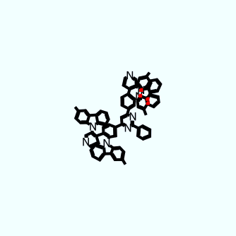 Cc1ccc2c(c1)c1ccccc1n2-c1cnccc1-c1ccc(-c2cc(-c3ccc(-c4ccncc4-n4c5ccccc5c5cc(C)ccc54)c(-n4c5ccccc5c5cc(C)ccc54)c3)nc(-c3ccccc3)n2)cc1-n1c2ccccc2c2cc(C)ccc21